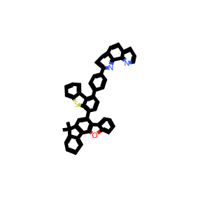 CC1(C)c2ccccc2-c2c1cc(-c1ccc(-c3ccc(-c4ccc5ccc6cccnc6c5n4)cc3)c3c1sc1ccccc13)c1c2oc2ccccc21